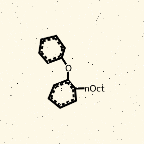 CCCCCCCCc1ccccc1Oc1ccccc1